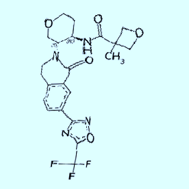 CC1(C(=O)N[C@@H]2CCOC[C@H]2N2Cc3ccc(-c4noc(C(F)(F)F)n4)cc3C2=O)COC1